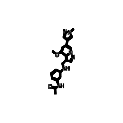 COc1cc(-c2cnn(C)c2)cn2ncc(CNc3cccc(NC(C)=O)c3)c12